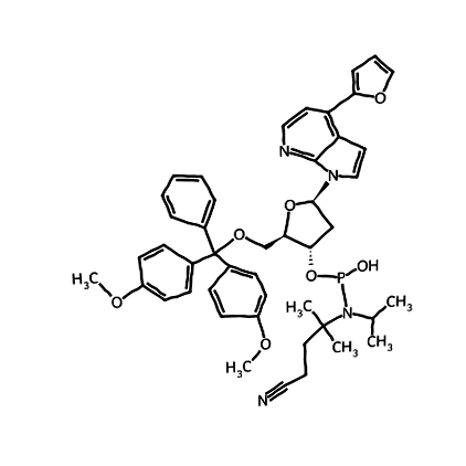 COc1ccc(C(OC[C@H]2O[C@@H](n3ccc4c(-c5ccco5)ccnc43)C[C@@H]2OP(O)N(C(C)C)C(C)(C)CCC#N)(c2ccccc2)c2ccc(OC)cc2)cc1